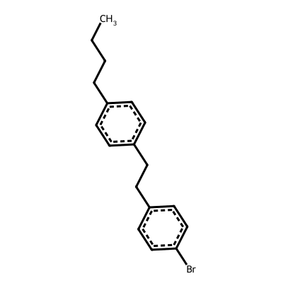 CCCCc1ccc(CCc2ccc(Br)cc2)cc1